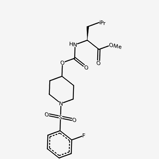 COC(=O)[C@H](CC(C)C)NC(=O)OC1CCN(S(=O)(=O)c2ccccc2F)CC1